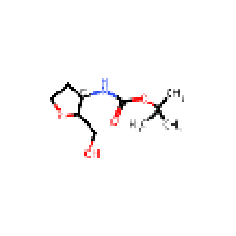 CC(C)(C)OC(=O)N[C@@H]1CCOC1CO